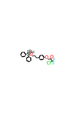 CC(C)(C)[Si](OCCCc1ccc(OCC(=O)C(F)(F)Cl)cc1)(c1ccccc1)c1ccccc1